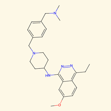 CCc1nnc(NC2CCN(Cc3ccc(CN(C)C)cc3)CC2)c2cc(OC)ccc12